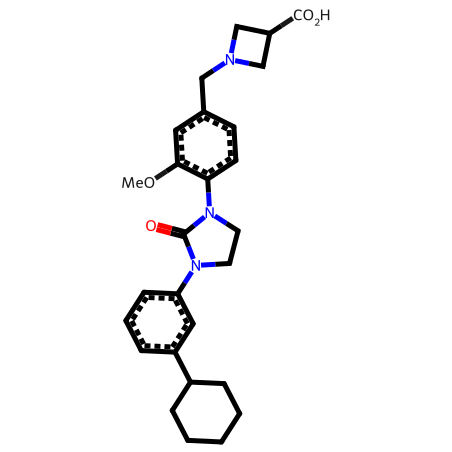 COc1cc(CN2CC(C(=O)O)C2)ccc1N1CCN(c2cccc(C3CCCCC3)c2)C1=O